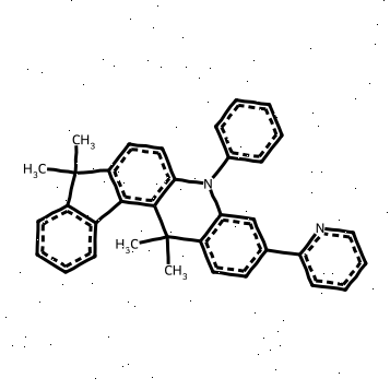 CC1(C)c2ccccc2-c2c1ccc1c2C(C)(C)c2ccc(-c3ccccn3)cc2N1c1ccccc1